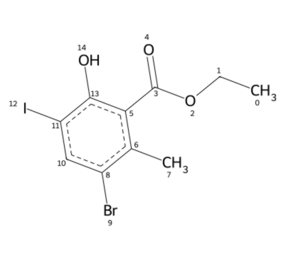 CCOC(=O)c1c(C)c(Br)cc(I)c1O